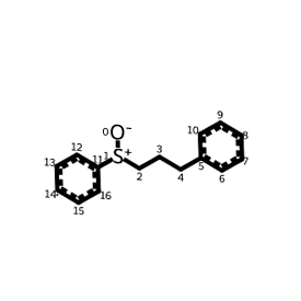 [O-][S+](CCCc1ccccc1)c1cc[c]cc1